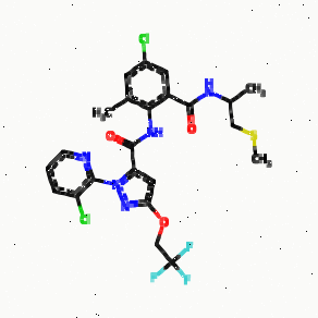 CSCC(C)NC(=O)c1cc(Cl)cc(C)c1NC(=O)c1cc(OCC(F)(F)F)nn1-c1ncccc1Cl